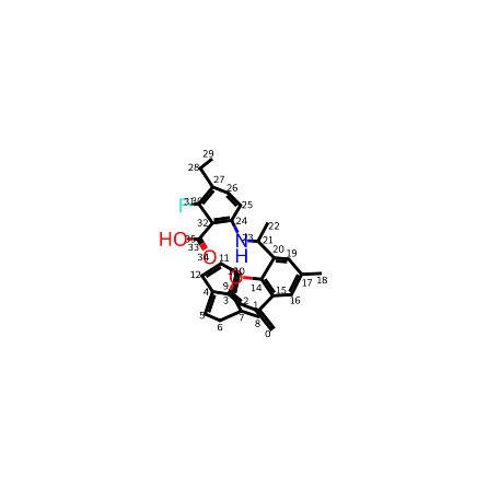 C=C1C=C(C2=C\CC(C)/C=C/C=C\2)Oc2c1cc(C)cc2C(C)Nc1ccc(CC)c(F)c1C(=O)O